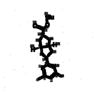 Cc1cc(C)nc(N2C[C@H]3CN(C(=O)OC(C)(C)C)C[C@H]3C2)n1